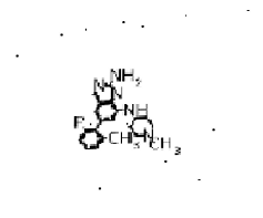 Cc1cccc(F)c1-c1cc(NC2CCN(C)CC2)c2nc(N)ncc2c1